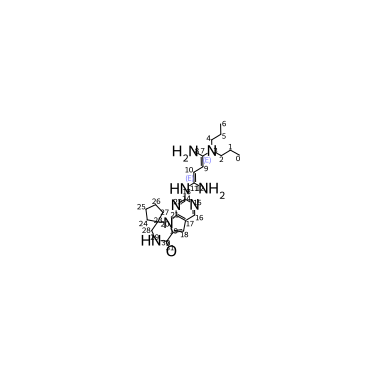 CCCN(CCC)/C(N)=C/C=C(\N)Nc1ncc2cc3n(c2n1)C1(CCCC1)CNC3=O